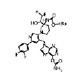 CC(C)(C)OC(=O)NC1(C(O)C(F)F)CCCN(c2cnc(-c3ccc(F)c(F)c3)cc2Cn2cnc3c(OC(N)=O)ncnc32)C1